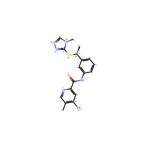 Cc1cnc(C(=O)Nc2cccc([C@H](C)Sc3nncn3C)c2)cc1C(F)(F)F